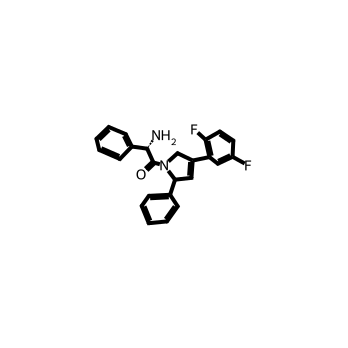 N[C@H](C(=O)N1CC(c2cc(F)ccc2F)=CC1c1ccccc1)c1ccccc1